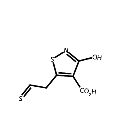 O=C(O)c1c(O)nsc1C[C]=S